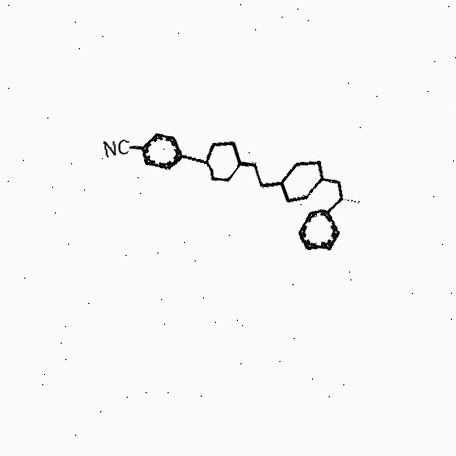 C[C@@H](CC1CCC(CCC2CCC(c3ccc(C#N)cc3)CC2)CC1)c1ccccc1